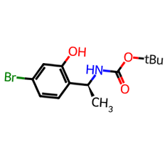 C[C@H](NC(=O)OC(C)(C)C)c1ccc(Br)cc1O